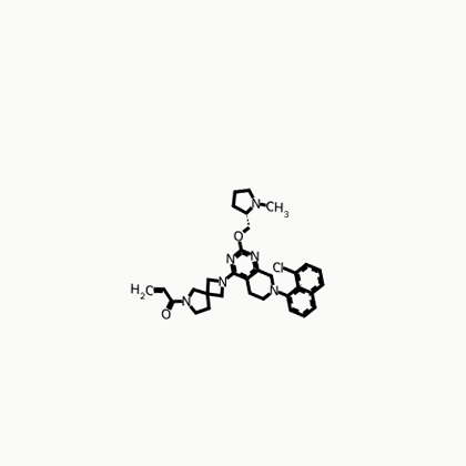 C=CC(=O)N1CCC2(C1)CN(c1nc(OC[C@@H]3CCCN3C)nc3c1CCN(c1cccc4cccc(Cl)c14)C3)C2